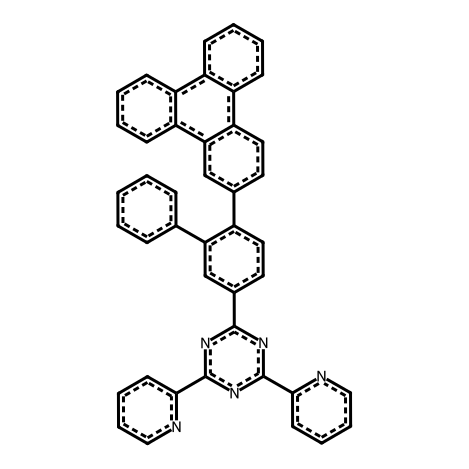 c1ccc(-c2cc(-c3nc(-c4ccccn4)nc(-c4ccccn4)n3)ccc2-c2ccc3c4ccccc4c4ccccc4c3c2)cc1